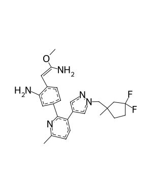 CO/C(N)=C/c1ccc(-c2nc(C)ccc2-c2cnn(CC3(C)CCC(F)(F)C3)c2)cc1N